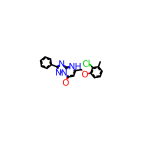 Cc1cccc(OCc2cc(=O)n3nc(-c4ccccc4)nc3[nH]2)c1Cl